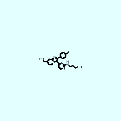 OCCCNc1nccc(-c2c(-c3ccc(F)cc3)nc3cc(CO)ccn23)n1